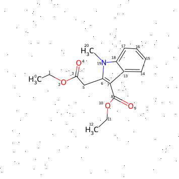 CCOC(=O)Cc1c(C(=O)OCC)c2ccccc2n1C